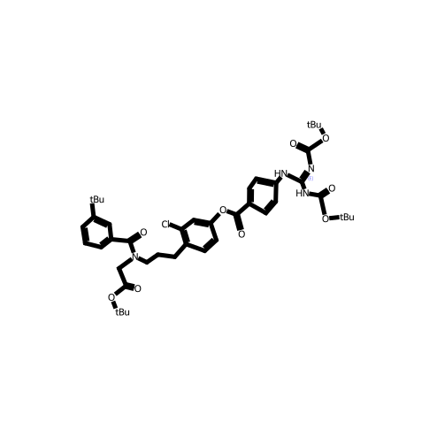 CC(C)(C)OC(=O)CN(CCCc1ccc(OC(=O)c2ccc(N/C(=N\C(=O)OC(C)(C)C)NC(=O)OC(C)(C)C)cc2)cc1Cl)C(=O)c1cccc(C(C)(C)C)c1